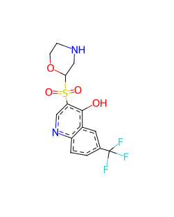 O=S(=O)(c1cnc2ccc(C(F)(F)F)cc2c1O)C1CNCCO1